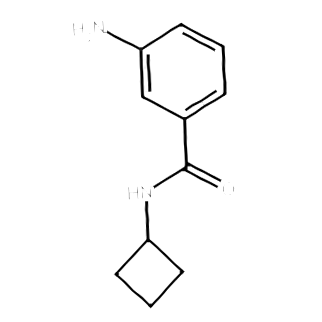 Nc1c[c]cc(C(=O)NC2CCC2)c1